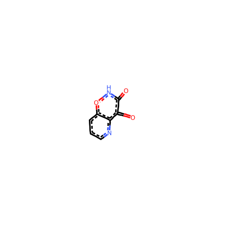 O=c1[nH]oc2cccnc2c1=O